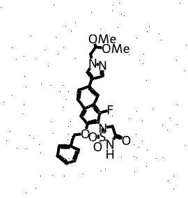 COC(Cn1cc(-c2ccc3cc(OCc4ccccc4)c(N4CC(=O)NS4(=O)=O)c(F)c3c2)cn1)OC